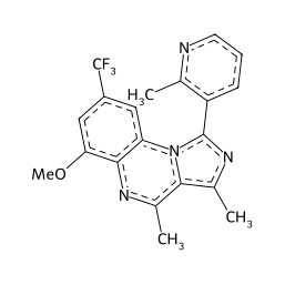 COc1cc(C(F)(F)F)cc2c1nc(C)c1c(C)nc(-c3cccnc3C)n12